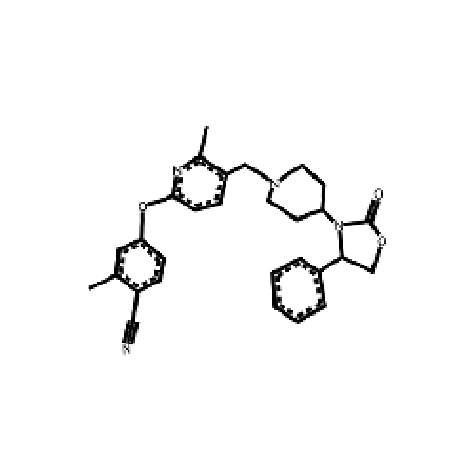 Cc1cc(Oc2ccc(CN3CCC(N4C(=O)OCC4c4ccccc4)CC3)c(C)n2)ccc1C#N